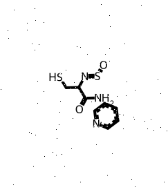 NC(=O)C(CS)N=S=O.c1ccncc1